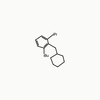 CCC(C)c1[c]ccc(C(C)C)c1CC1CCCCC1